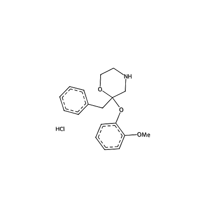 COc1ccccc1OC1(Cc2ccccc2)CNCCO1.Cl